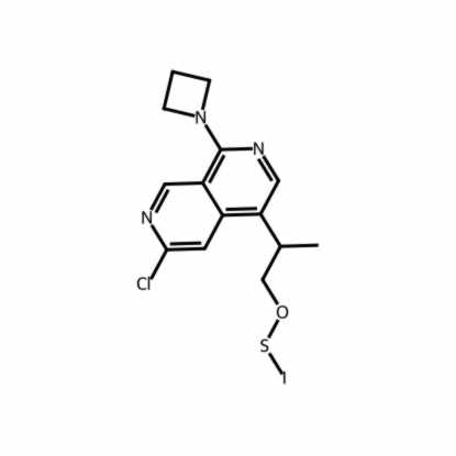 CC(COSI)c1cnc(N2CCC2)c2cnc(Cl)cc12